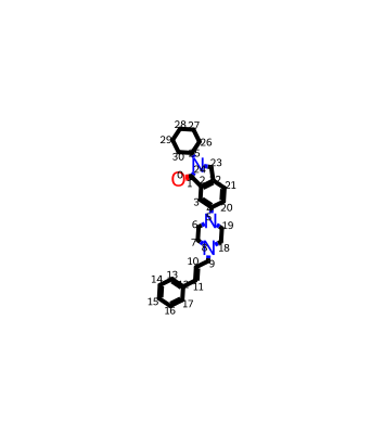 O=C1c2cc(N3CCN(CC=Cc4ccccc4)CC3)ccc2CN1C1CCCCC1